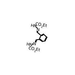 CCOC(=O)N/N=C/c1ccccc1/C=N/NC(=O)OCC